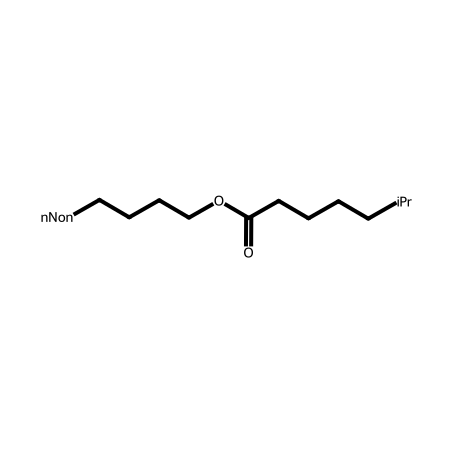 CCCCCCCCCCCCCOC(=O)CCCCC(C)C